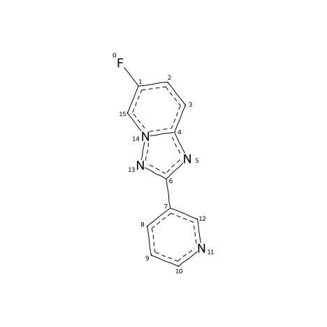 Fc1ccc2nc(-c3cccnc3)nn2c1